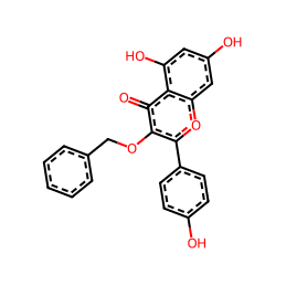 O=c1c(OCc2ccccc2)c(-c2ccc(O)cc2)oc2cc(O)cc(O)c12